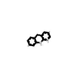 [c]1cnc2c(c1)Cc1ccccc1O2